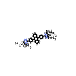 Cc1cnc(-c2ccc(-c3c4ccccc4c(-c4ccc(-c5nc(C)c(C)c(C)n5)cc4)c4ccccc34)cc2)nc1C